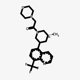 C[C@@H]1CC(c2ccc(C(F)(F)F)c3ncccc23)CN(C(=O)CN2CCOCC2)C1